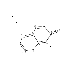 O=C1C=CC2=CC=NCC2=C1